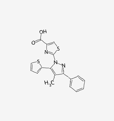 Cc1c(-c2ccccc2)nn(-c2nc(C(=O)O)cs2)c1-c1cccs1